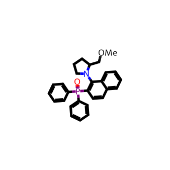 COCC1CCCN1c1c(P(=O)(c2ccccc2)c2ccccc2)ccc2ccccc12